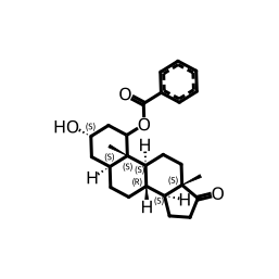 C[C@]12C(OC(=O)c3ccccc3)C[C@@H](O)C[C@@H]1CC[C@@H]1[C@@H]2CC[C@]2(C)C(=O)CC[C@@H]12